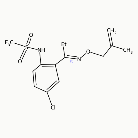 C=C(C)CO/N=C(\CC)c1cc(Cl)ccc1NS(=O)(=O)C(F)(F)F